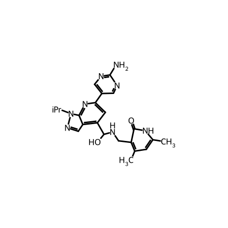 Cc1cc(C)c(CNC(O)c2cc(-c3cnc(N)nc3)nc3c2cnn3C(C)C)c(=O)[nH]1